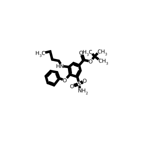 CCCCNc1cc(C(=O)OC(C)(C)C)cc(S(N)(=O)=O)c1Oc1ccccc1